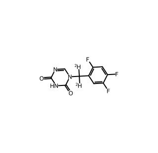 [2H]C([2H])(c1cc(F)c(F)cc1F)n1cnc(=O)[nH]c1=O